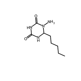 CCCCCC1NC(=O)NC(=O)N1N